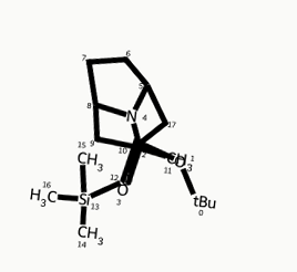 CC(C)(C)OC(=O)N1C2CCC1CC(C)(O[Si](C)(C)C)C2